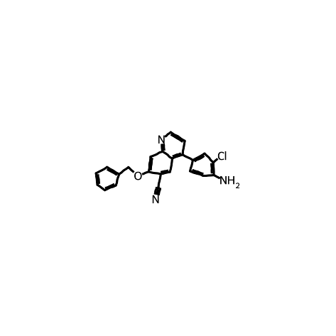 N#Cc1cc2c(-c3ccc(N)c(Cl)c3)ccnc2cc1OCc1ccccc1